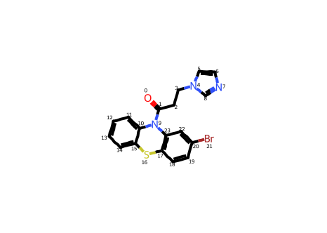 O=C(CCn1ccnc1)N1c2ccccc2Sc2ccc(Br)cc21